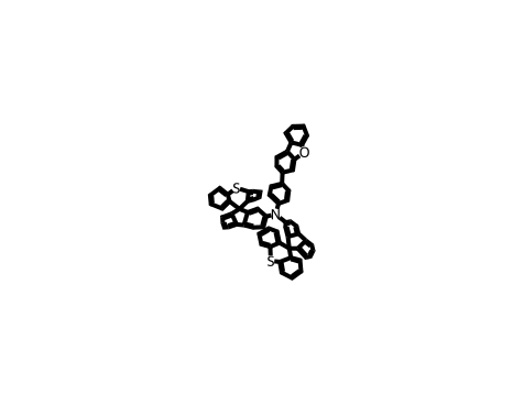 c1ccc2c(c1)Sc1ccccc1C21c2ccccc2-c2ccc(N(c3ccc(-c4ccc5c(c4)oc4ccccc45)cc3)c3ccc4c(c3)C3(c5ccccc5Sc5ccccc53)c3ccccc3-4)cc21